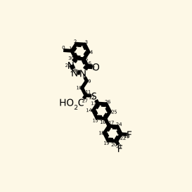 Cc1cccc2c(=O)n(CCC(Sc3ccc(-c4ccc(F)c(F)c4)cc3)C(=O)O)nnc12